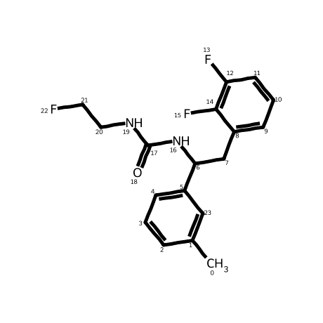 Cc1cccc(C(Cc2cccc(F)c2F)NC(=O)NCCF)c1